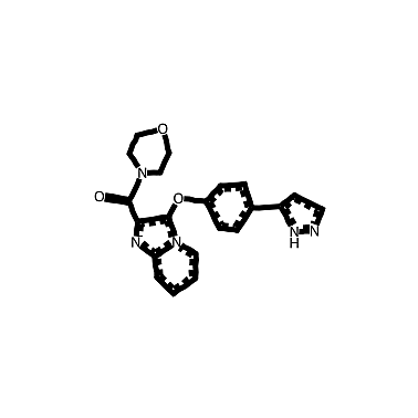 O=C(c1nc2ccccn2c1Oc1ccc(-c2ccn[nH]2)cc1)N1CCOCC1